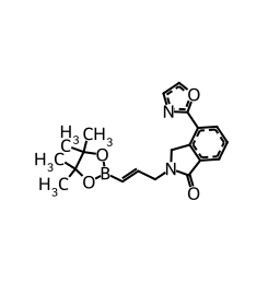 CC1(C)OB(C=CCN2Cc3c(cccc3-c3ncco3)C2=O)OC1(C)C